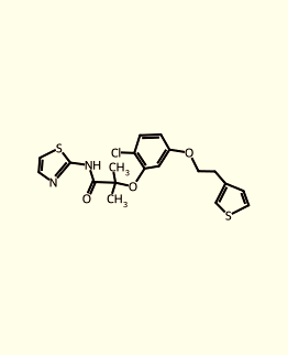 CC(C)(Oc1cc(OCCc2ccsc2)ccc1Cl)C(=O)Nc1nccs1